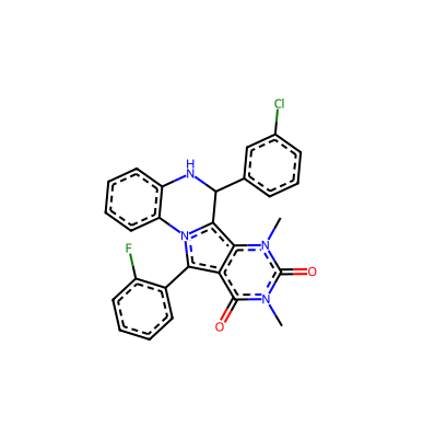 Cn1c(=O)c2c(-c3ccccc3F)n3c(c2n(C)c1=O)C(c1cccc(Cl)c1)Nc1ccccc1-3